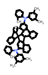 Cc1cc(C)cc(N(c2ccc3c4c(c5ccccc5c3c2)-c2c(cc(N(c3cc(C)cc(C)c3)c3ccccc3C)c3ccccc23)C42c3ccccc3-c3ccccc32)c2ccccc2C)c1